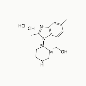 Cc1ccc2c(c1)nc(C)n2[C@@H]1CCNC[C@H]1CO.Cl.Cl